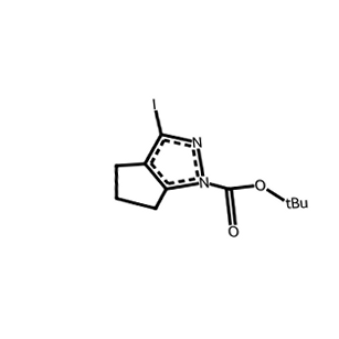 CC(C)(C)OC(=O)n1nc(I)c2c1CCC2